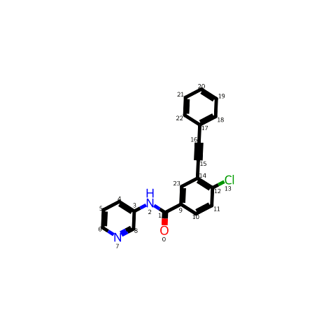 O=C(Nc1cccnc1)c1ccc(Cl)c(C#Cc2ccccc2)c1